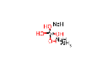 O[Si](O)(O)O.[AlH3].[NaH].[NaH]